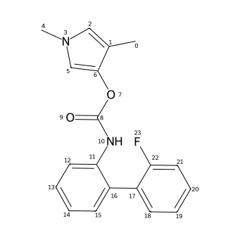 Cc1cn(C)cc1OC(=O)Nc1ccccc1-c1ccccc1F